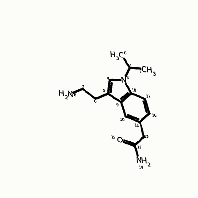 CC(C)n1cc(CCN)c2cc(CC(N)=O)ccc21